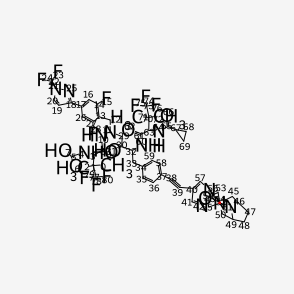 CC(C)(C(NC(=O)O)C(=O)NN(Cc1c(F)cc(-c2ccn(C(F)F)n2)cc1F)CC(O)C(Cc1ccc(C#Cc2cnc(N3CC4CCC(C3)N4C3COC3)nc2)cc1)NC(=O)C(NC(=O)C1CC1)C(C)(C)C(F)(F)F)C(F)(F)F